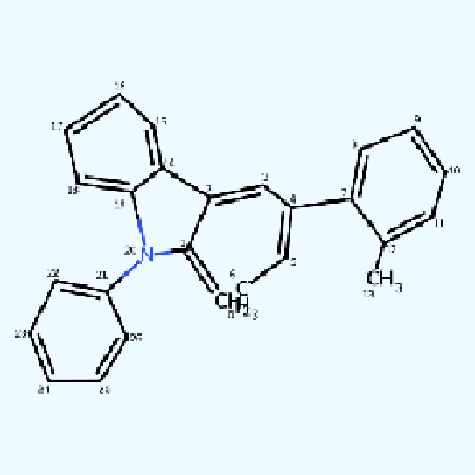 C=c1/c(=C\C(=C/C)c2ccccc2C)c2ccccc2n1-c1ccccc1